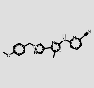 COc1ccc(Cn2cc(-c3nc(Nc4cccc(C#N)n4)sc3C)cn2)cc1